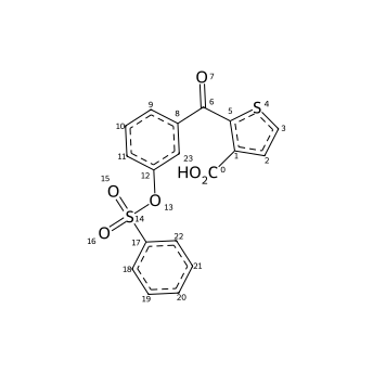 O=C(O)c1ccsc1C(=O)c1cccc(OS(=O)(=O)c2ccccc2)c1